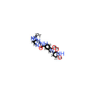 CC(C)n1ncc2cnc(NC(=O)c3ccc4c(c3)CN(C3CCC(=O)NC3=O)C4=O)nc21